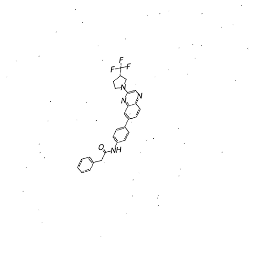 O=C(Cc1ccccc1)Nc1ccc(-c2ccc3ncc(N4CCC(C(F)(F)F)C4)nc3c2)cc1